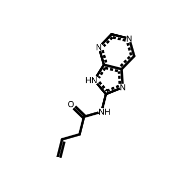 C=CCC(=O)Nc1nc2cncnc2[nH]1